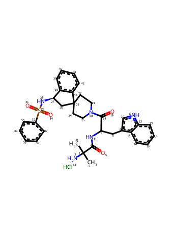 CC(C)(N)C(=O)NC(Cc1c[nH]c2ccccc12)C(=O)N1CCC2(CC1)C[C@@H](NS(=O)(=O)c1ccccc1)c1ccccc12.Cl